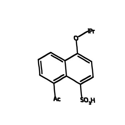 CC(=O)c1cccc2c(OC(C)C)ccc(S(=O)(=O)O)c12